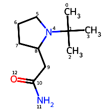 CC(C)(C)N1CCCC1CC(N)=O